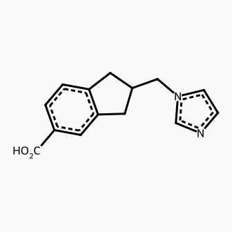 O=C(O)c1ccc2c(c1)CC(Cn1ccnc1)C2